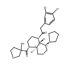 O=C(Cc1ccc(Cl)c(Cl)c1)N1CCN(C(=O)C2(O)CCOC2)[C@@H]2COC[C@H](N3CCCC3)[C@H]21